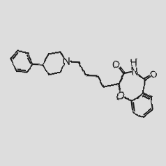 O=C1NC(=O)C(CCCCN2CCC(c3ccccc3)CC2)Oc2ccccc21